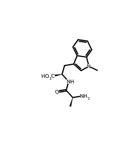 C[C@H](N)C(=O)N[C@H](Cc1cn(C)c2ccccc12)C(=O)O